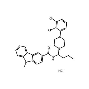 CCCC(NC(=O)c1ccc2c(c1)c1ccccc1n2C)N1CCN(c2cccc(Cl)c2Cl)CC1.Cl